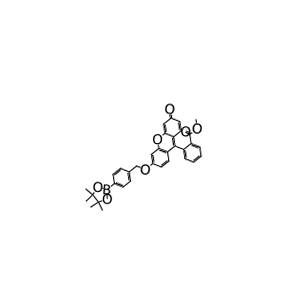 COC(=O)c1ccccc1-c1c2ccc(=O)cc-2oc2cc(OCc3ccc(B4OC(C)(C)C(C)(C)O4)cc3)ccc12